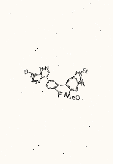 CCn1cc2cc(-c3cc(-c4cnnc5c4ncn5CC)ccc3F)c(OC)cc2n1